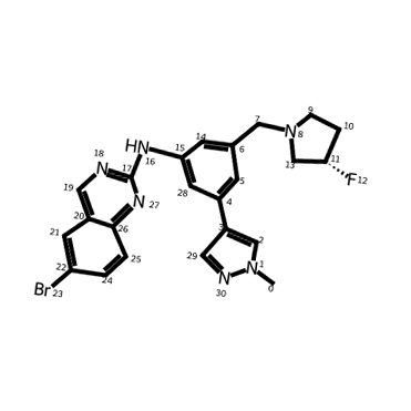 Cn1cc(-c2cc(CN3CC[C@H](F)C3)cc(Nc3ncc4cc(Br)ccc4n3)c2)cn1